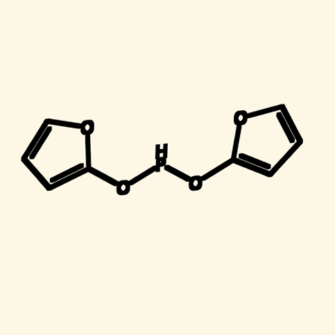 c1coc(OPOc2ccco2)c1